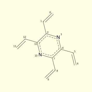 C=Cc1nc(C=C)c(C=C)nc1C=C